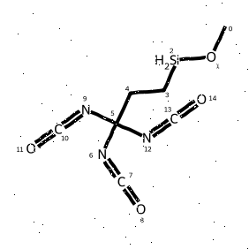 CO[SiH2]CCC(N=C=O)(N=C=O)N=C=O